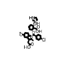 COc1ccc2c(c1)c(CC(=O)O)c(C)n2C(=O)c1ccc(Cl)cc1.O=C(O)c1ccccc1O.c1c[nH]cn1